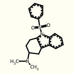 CN(C)C1CCc2c(c3ccccc3n2S(=O)(=O)c2ccccc2)C1